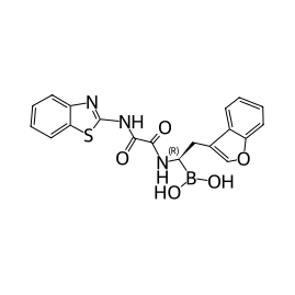 O=C(Nc1nc2ccccc2s1)C(=O)N[C@@H](Cc1coc2ccccc12)B(O)O